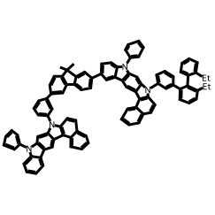 CCc1ccccc1-c1c(CC)cccc1-c1cccc(-n2c3cc4c(cc3c3c5ccccc5ccc32)c2cc(-c3ccc5c(c3)C(C)(C)c3ccc(-c6cccc(-n7c8cc9c(cc8c8c%10ccccc%10ccc87)c7ccccc7n9-c7ccccc7)c6)cc3-5)ccc2n4-c2ccccc2)c1